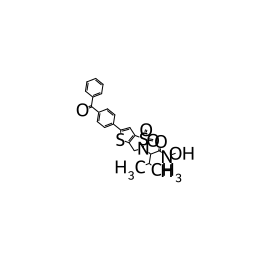 CC(C)C(C(=O)NO)N1Cc2sc(-c3ccc(C(=O)c4ccccc4)cc3)cc2S1(=O)=O